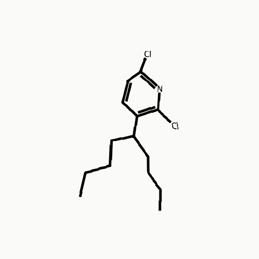 CCCCC(CCCC)c1ccc(Cl)nc1Cl